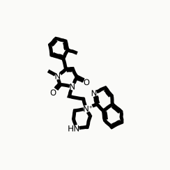 Cc1ccccc1-c1cc(=O)n(CC[N+]2(c3nccc4ccccc34)CCNCC2)c(=O)n1C